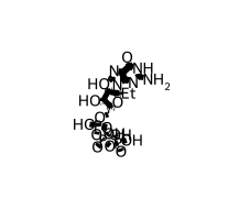 CC[C@@]1(n2cnc3c(=O)[nH]c(N)nc32)O[C@H](COP(=O)(O)OP(=O)(O)OP(=O)(O)O)[C@@H](O)[C@H]1O